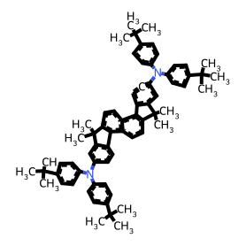 CC(C)(C)c1ccc(N(c2ccc(C(C)(C)C)cc2)c2ccc3c(c2)C(C)(C)c2ccc4c5c(ccc4c2-3)C(C)(C)c2cc(N(c3ccc(C(C)(C)C)cc3)c3ccc(C(C)(C)C)cc3)ccc2-5)cc1